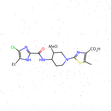 CCc1[nH]c(C(=O)NC2CCN(c3nc(C(=O)O)c(C)s3)CC2OC)nc1Cl